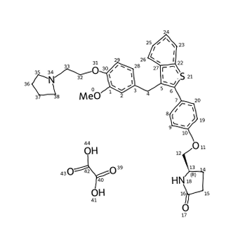 COc1cc(Cc2c(-c3ccc(OC[C@H]4CCC(=O)N4)cc3)sc3ccccc23)ccc1OCCN1CCCC1.O=C(O)C(=O)O